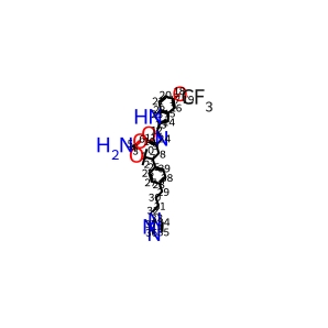 CC(C)(OC(N)=O)C(Cc1coc(-c2cc3cc(OC(F)(F)F)ccc3[nH]2)n1)c1ccc(CCCCn2ccnn2)cc1